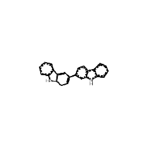 C1=C(c2ccc3c(c2)[nH]c2ccccc23)C=C2c3ccccc3PC2C1